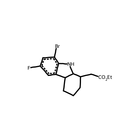 CCOC(=O)CC1CCCC2c3cc(F)cc(Br)c3NC12